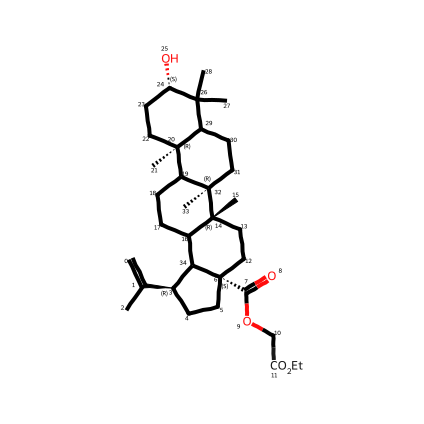 C=C(C)[C@@H]1CC[C@]2(C(=O)OCC(=O)OCC)CC[C@]3(C)C(CCC4[C@@]5(C)CC[C@H](O)C(C)(C)C5CC[C@]43C)C12